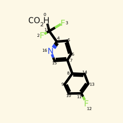 O=C(O)C(F)(F)c1ccc(-c2ccc(F)cc2)cn1